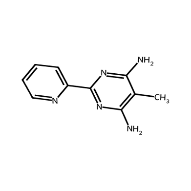 Cc1c(N)nc(-c2ccccn2)nc1N